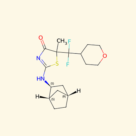 CC1(C(F)(F)C2CCOCC2)SC(N[C@H]2C[C@@H]3CC[C@H]2C3)=NC1=O